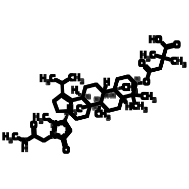 CNC(=O)Cn1c(=O)cc([C@]23CCC(C(C)C)=C2[C@H]2CC[C@@H]4[C@@]5(C)CC[C@H](OC(=O)CC(C)(C)C(=O)O)C(C)(C)[C@@H]5CC[C@@]4(C)[C@]2(C)CC3)n1C